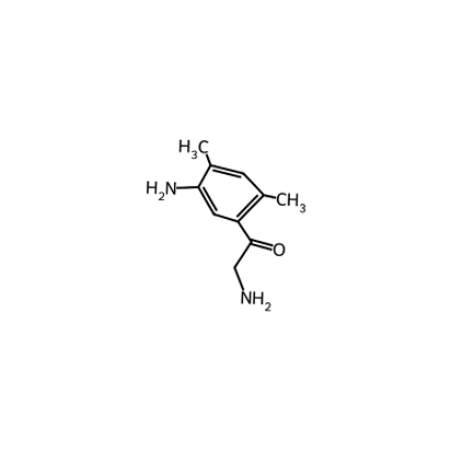 Cc1cc(C)c(C(=O)CN)cc1N